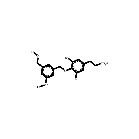 CCNc1cc(COCC)cc(COc2c(Br)cc(CCC(=O)O)cc2Br)c1